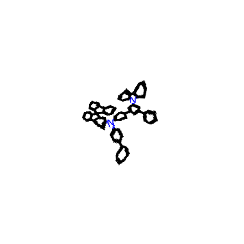 C1=CCC=CC(c2ccc(N(c3ccc(-c4cc(-c5ccccc5)cc(-n5c6ccccc6c6ccccc65)c4)cc3)c3ccc4c(c3)C3(c5ccccc5-c5ccccc53)c3ccccc3-4)cc2)=C1